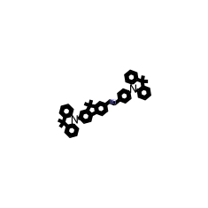 CC1(C)c2cc(/C=C/c3ccc(N4c5ccccc5C(C)(C)c5ccccc54)cc3)ccc2-c2ccc(N3c4ccccc4C(C)(C)c4ccccc43)cc21